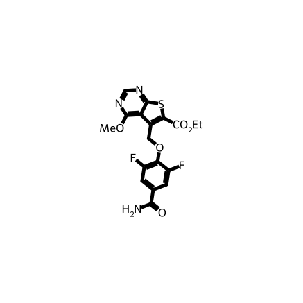 CCOC(=O)c1sc2ncnc(OC)c2c1COc1c(F)cc(C(N)=O)cc1F